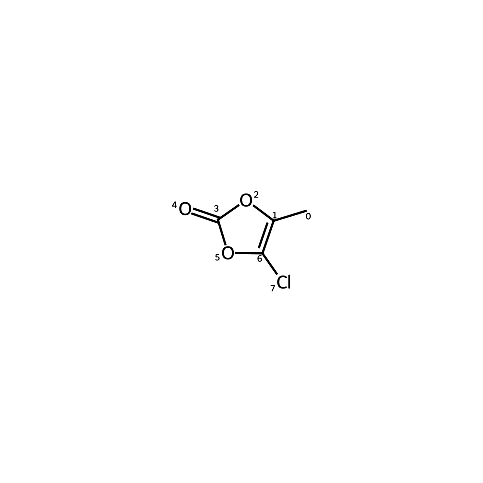 Cc1oc(=O)oc1Cl